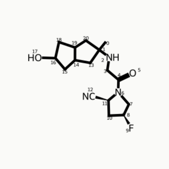 CC1(NCC(=O)N2C[C@@H](F)C[C@H]2C#N)CC2CC(O)CC2C1